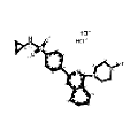 CCN1CCN(c2nc(-c3ccc(S(=O)(=O)NC4CC4)cc3)cc3ccccc23)CC1.Cl.Cl